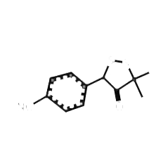 CC1(C)SSC(c2ccc(C#N)cc2)C1=O